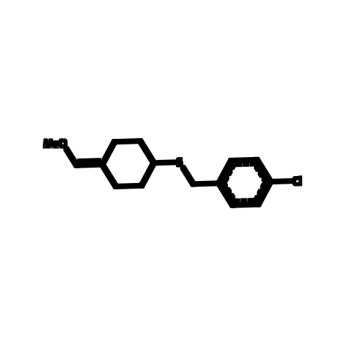 COC=C1CCC(SCc2ccc(Cl)cc2)CC1